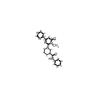 Cn1c(N2CCCC(C(=O)Nc3ccccc3)C2)nc(-c2ccncn2)cc1=O